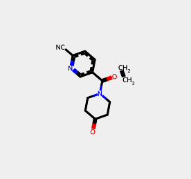 C=C.N#Cc1ccc(C(=O)N2CCC(=O)CC2)cn1